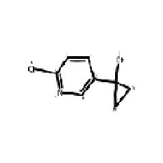 CCC1(c2ccc(Cl)nc2)CC1